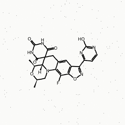 C[C@@H]1CN2c3c(cc4c(-c5ccnc(O)n5)noc4c3F)CC3(C(=O)NC(=O)NC3=O)[C@H]2[C@H](C)O1